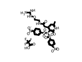 Cc1cc(CC(=O)NCCONC(=N)N)c(N(S(=O)(=O)c2ccc([N+](=O)[O-])cc2)S(=O)(=O)c2ccc([N+](=O)[O-])cc2)c(=O)[nH]1.O=C(O)C(F)(F)F